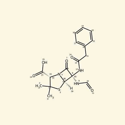 CC1(C)S[C@H]2N(C(=O)[C@@]2(NC=O)NC(=O)Cc2ccccc2)[C@H]1C(=O)O